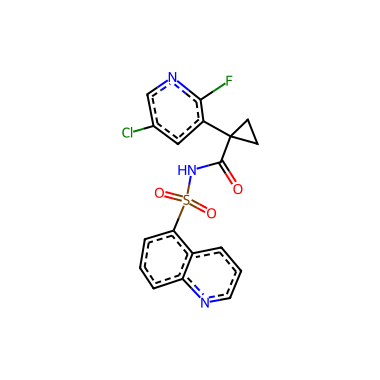 O=C(NS(=O)(=O)c1cccc2ncccc12)C1(c2cc(Cl)cnc2F)CC1